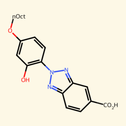 CCCCCCCCOc1ccc(-n2nc3ccc(C(=O)O)cc3n2)c(O)c1